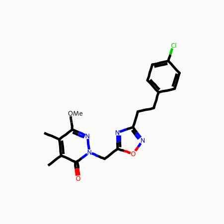 COc1nn(Cc2nc(CCc3ccc(Cl)cc3)no2)c(=O)c(C)c1C